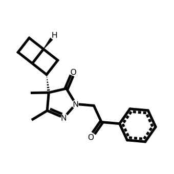 CC1=NN(CC(=O)c2ccccc2)C(=O)C1(C)[C@H]1C[C@H]2CCC21